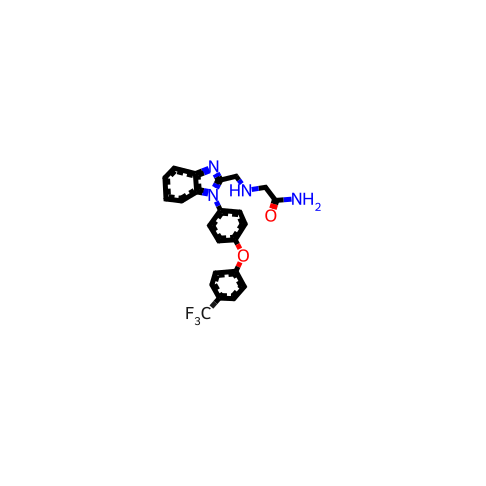 NC(=O)CNCc1nc2ccccc2n1-c1ccc(Oc2ccc(C(F)(F)F)cc2)cc1